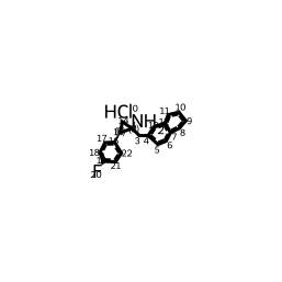 Cl.N[C@]1(Cc2ccc3ccccc3c2)C[C@@H]1c1ccc(F)cc1